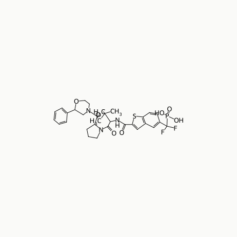 CC(C)(C)C(NC(=O)c1cc2cc(C(F)(F)P(=O)(O)O)ccc2s1)C(=O)N1CCCC1C(=O)N1CCOC(c2ccccc2)C1